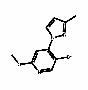 COc1cc(-n2ccc(C)n2)c(Br)cn1